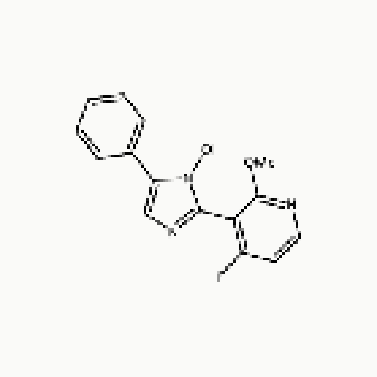 COc1nccc(I)c1-c1ncc(-c2ccccc2)n1O